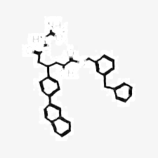 NC(=O)NOC(=O)CC(CC(O)C(=O)OCc1cccc(Cc2ccccc2)c1)c1ccc(-c2ccc3ccccc3c2)cc1